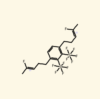 C/C(F)=C/CCc1ccc(CC/C=C(/C)F)c(S(F)(F)(F)(F)F)c1S(F)(F)(F)(F)F